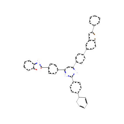 C1=CCC(c2ccc(-c3nc(-c4ccc(-c5ccc6sc(-c7ccccc7)cc6c5)cc4)cc(-c4ccc(-c5nc6ccccc6o5)cc4)n3)cc2)C=C1